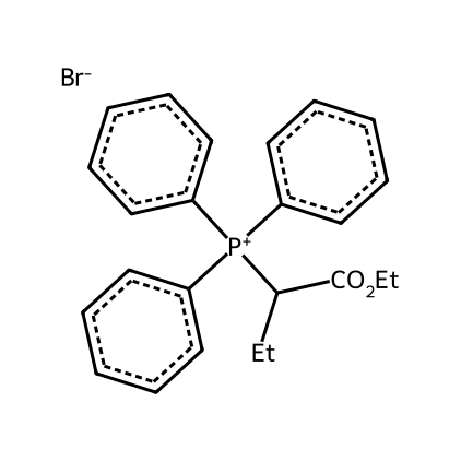 CCOC(=O)C(CC)[P+](c1ccccc1)(c1ccccc1)c1ccccc1.[Br-]